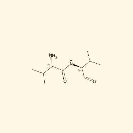 CC(C)[C@H](N)C(=O)N[C@H]([C]=O)C(C)C